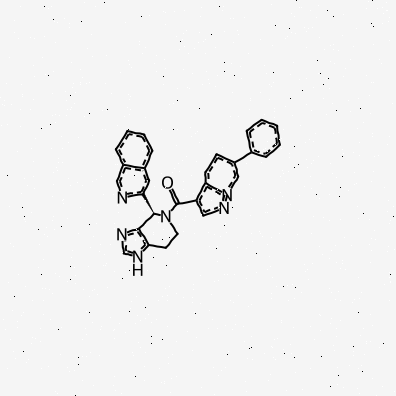 O=C(c1cnn2cc(-c3ccccc3)ccc12)N1CCc2[nH]cnc2[C@H]1c1cc2ccccc2cn1